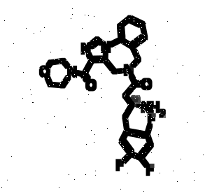 N[C@@H](CC(=O)N1Cc2ccccc2-n2cnc(C(=O)N3CCOCC3)c2C1)Cc1cc(F)c(F)cc1F